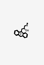 C=NCC(O)CC12CCC(c3ccccc31)c1ccccc12